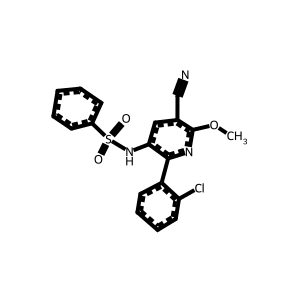 COc1nc(-c2ccccc2Cl)c(NS(=O)(=O)c2ccccc2)cc1C#N